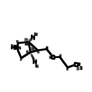 FC(F)(F)CCOCC1[C@H]2CNC[C@@H]12